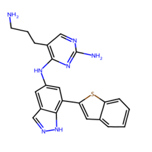 NCCCc1cnc(N)nc1Nc1cc(-c2cc3ccccc3s2)c2[nH]ncc2c1